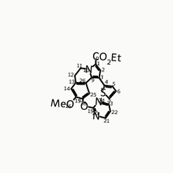 CCOC(=O)c1cc(-c2cccs2)c2n1CCc1cc(OC)c(Oc3ncccn3)cc1-2